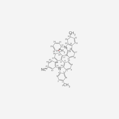 Cc1ccc2c(c1)c1cccc(C3=C(c4cccc5c6c(n(C7C=CC=CC7)c45)CC(C)C=C6)C(C)CC=C3)c1n2-c1cccc(C#N)c1